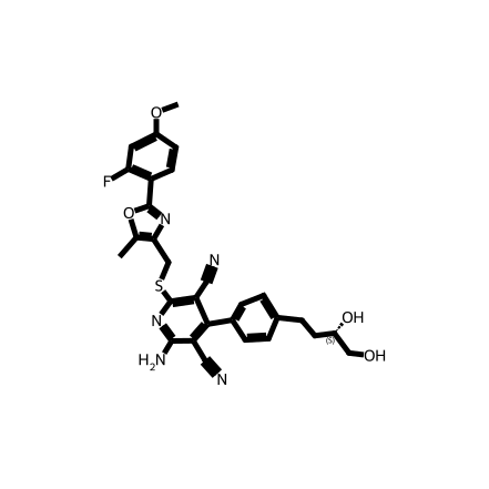 COc1ccc(-c2nc(CSc3nc(N)c(C#N)c(-c4ccc(CC[C@H](O)CO)cc4)c3C#N)c(C)o2)c(F)c1